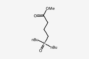 CCCCP(=O)(CCCC)CCCC(=O)OC